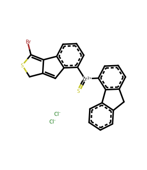 [Cl-].[Cl-].[S]=[Zr+2]([c]1cccc2c1C=C1CSC(Br)=C12)[c]1cccc2c1-c1ccccc1C2